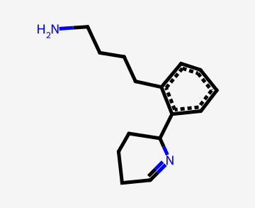 NCCCCc1ccccc1C1CCCC=N1